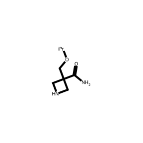 CC(C)OCC1(C(N)=O)CNC1